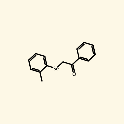 Cc1ccccc1[Se]CC(=O)c1ccccc1